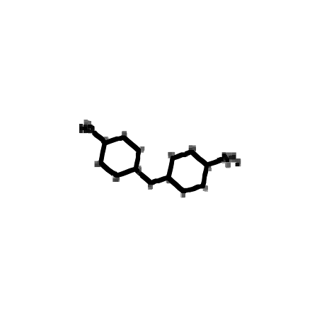 NC1CCC(CC2CCC(O)CC2)CC1